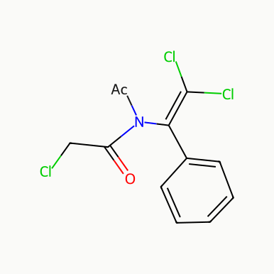 CC(=O)N(C(=O)CCl)C(=C(Cl)Cl)c1ccccc1